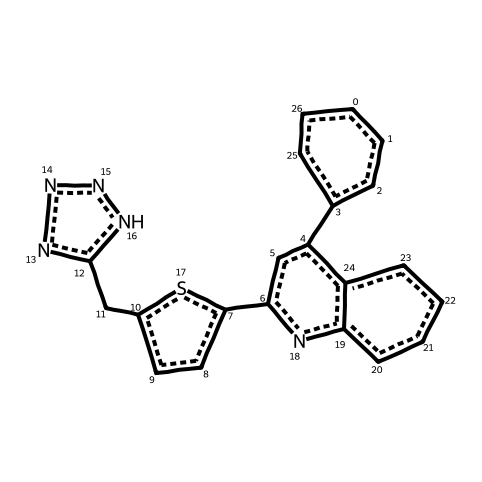 c1ccc(-c2cc(-c3ccc(Cc4nnn[nH]4)s3)nc3ccccc23)cc1